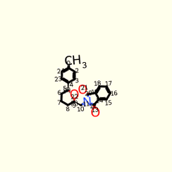 Cc1ccc([C@@H]2CCC[C@H](CN3C(=O)c4ccccc4C3=O)O2)cc1